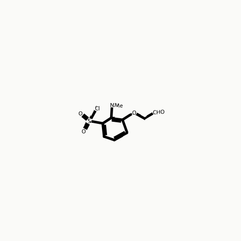 CNc1c(OCC=O)cccc1S(=O)(=O)Cl